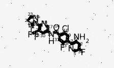 Nc1cc(F)cnc1-c1cc(Cl)c(C(=O)Nc2cnc(-n3nccn3)c(C(F)(F)F)c2)cc1F